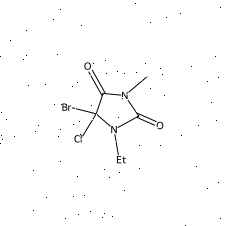 CCN1C(=O)N(C)C(=O)C1(Cl)Br